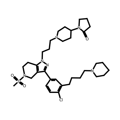 CS(=O)(=O)N1CCc2c(c(-c3ccc(Cl)c(CCCCN4CCCCC4)c3)nn2CCCN2CCC(N3CCCC3=O)CC2)C1